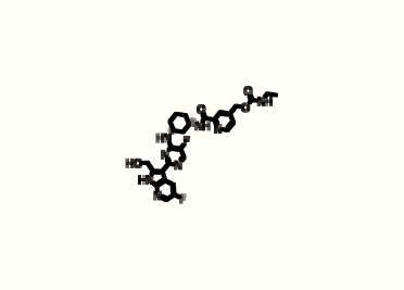 CCNC(=O)OCc1ccnc(C(=O)N[C@H]2CCC[C@@H](Nc3nc(-c4c(CO)[nH]c5ncc(F)cc45)ncc3F)C2)c1